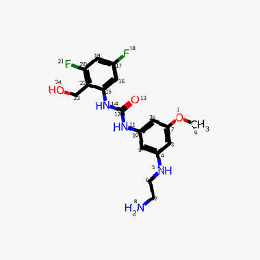 COc1cc(NCCN)cc(NC(=O)Nc2cc(F)cc(F)c2CO)c1